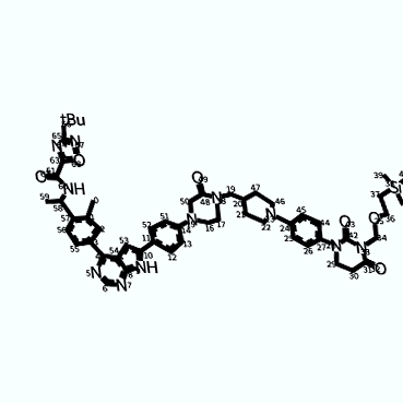 Cc1cc(-c2ncnc3[nH]c(-c4ccc(N5CCN(CC6CCN(c7ccc(N8CCC(=O)N(COCC[Si](C)(C)C)C8=O)cc7)CC6)C(=O)C5)cc4)cc23)ccc1C(C)NC(=O)c1nc(C(C)(C)C)no1